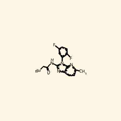 Cc1ccc2nc(NC(=O)CC(C)(C)C)n(-c3cc(F)ccc3F)c2n1